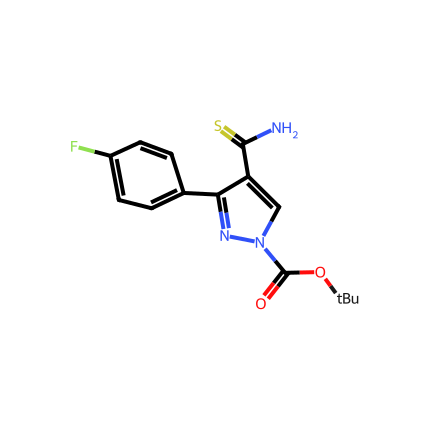 CC(C)(C)OC(=O)n1cc(C(N)=S)c(-c2ccc(F)cc2)n1